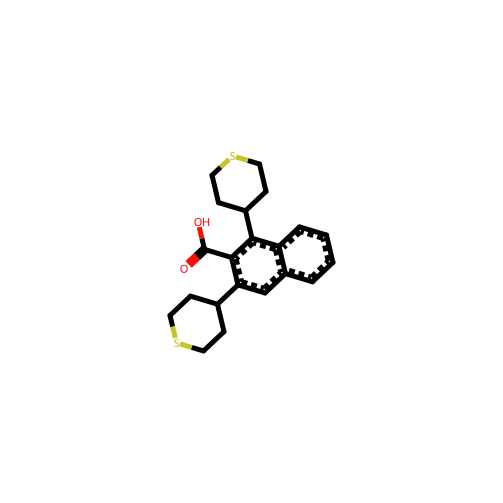 O=C(O)c1c(C2CCSCC2)cc2ccccc2c1C1CCSCC1